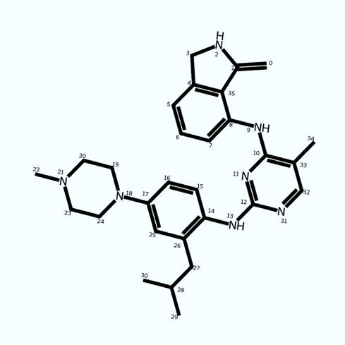 C=C1NCc2cccc(Nc3nc(Nc4ccc(N5CCN(C)CC5)cc4CC(C)C)ncc3C)c21